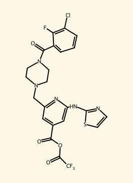 O=C(OC(=O)C(F)(F)F)c1cc(CN2CCN(C(=O)c3cccc(Cl)c3F)CC2)nc(Nc2nccs2)c1